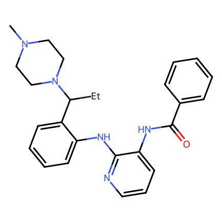 CCC(c1ccccc1Nc1ncccc1NC(=O)c1ccccc1)N1CCN(C)CC1